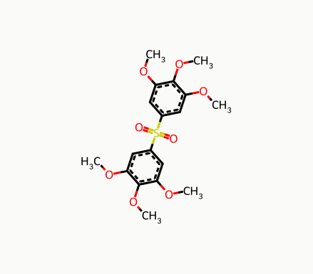 COc1cc(S(=O)(=O)c2cc(OC)c(OC)c(OC)c2)cc(OC)c1OC